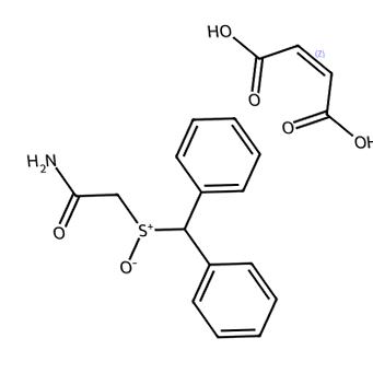 NC(=O)C[S+]([O-])C(c1ccccc1)c1ccccc1.O=C(O)/C=C\C(=O)O